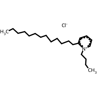 CCCCCCCCCCCCCc1cccc[n+]1CCCC.[Cl-]